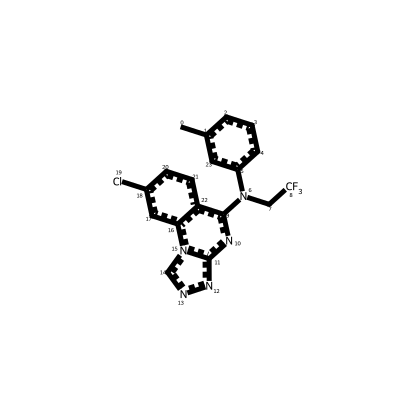 Cc1cccc(N(CC(F)(F)F)c2nc3nncn3c3cc(Cl)ccc23)c1